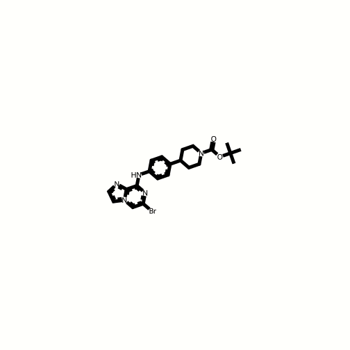 CC(C)(C)OC(=O)N1CCC(c2ccc(Nc3nc(Br)cn4ccnc34)cc2)CC1